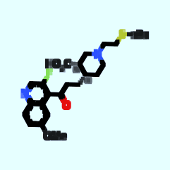 CCCCSCCN1CC[C@H](CCC(=O)c2c(F)cnc3ccc(OC)cc23)[C@H](C(=O)O)C1